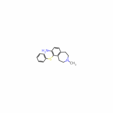 CN1CCc2ccc(N)c(Sc3ccccc3)c2CC1